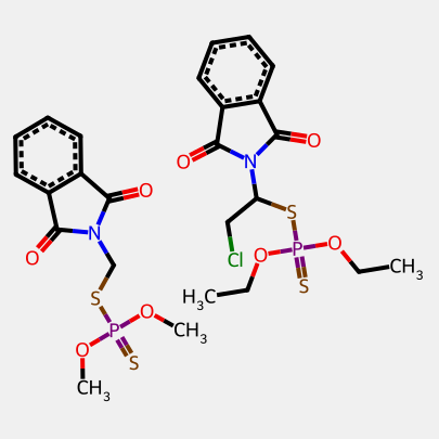 CCOP(=S)(OCC)SC(CCl)N1C(=O)c2ccccc2C1=O.COP(=S)(OC)SCN1C(=O)c2ccccc2C1=O